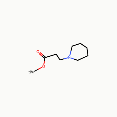 CC(C)(C)OC(=O)CCN1CC[CH]CC1